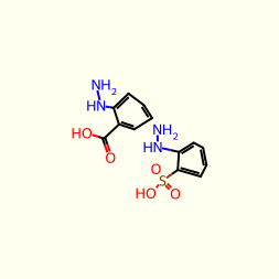 NNc1ccccc1C(=O)O.NNc1ccccc1S(=O)(=O)O